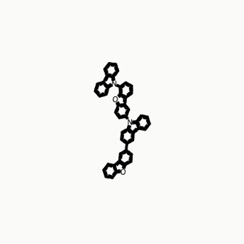 c1ccc2c(c1)oc1ccc(-c3ccc4c(c3)c3ccccc3n4-c3ccc4oc5c(-n6c7ccccc7c7ccccc76)cccc5c4c3)cc12